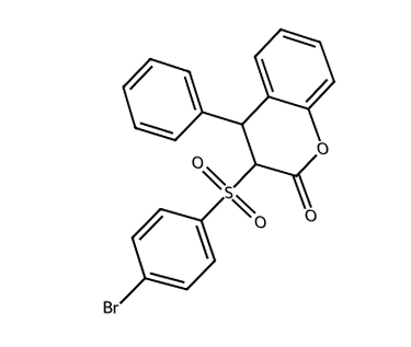 O=C1Oc2ccccc2C(c2ccccc2)C1S(=O)(=O)c1ccc(Br)cc1